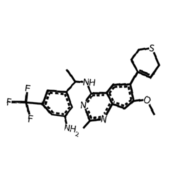 COc1cc2nc(C)nc(NC(C)c3cc(N)cc(C(F)(F)F)c3)c2cc1C1=CCSCC1